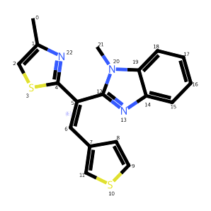 Cc1csc(/C(=C/c2ccsc2)c2nc3ccccc3n2C)n1